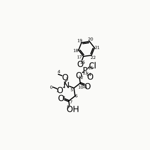 CON(OC)C(CC(=O)O)C(=O)OP(=O)(Cl)Oc1ccccc1